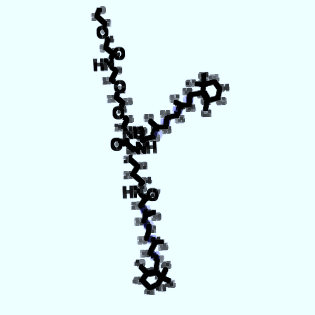 CCCOCCC(=O)NCCOCCOCCNC(=O)[C@@H](CCCCNC(=O)/C=C(C)/C=C/C=C(C)/C=C/C1=C(C)CCCC1(C)C)NC(=O)/C=C(C)/C=C/C=C(C)/C=C/C1=C(C)CCCC1(C)C